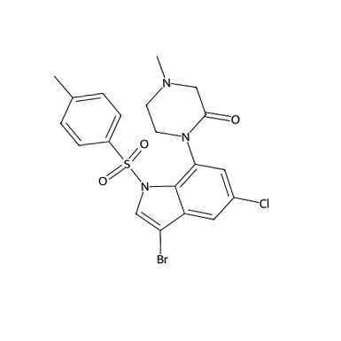 Cc1ccc(S(=O)(=O)n2cc(Br)c3cc(Cl)cc(N4CCN(C)CC4=O)c32)cc1